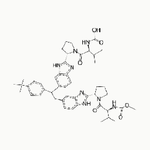 COC(=O)N[C@H](C(=O)N1CCC[C@H]1c1nc2cc(CC(c3ccc(C(C)(C)C)cc3)c3ccc4nc([C@@H]5CCCN5C(=O)[C@@H](NC(=O)O)C(C)C)[nH]c4c3)ccc2[nH]1)C(C)C